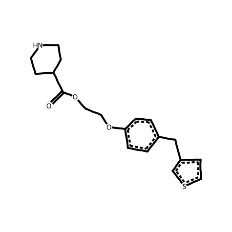 O=C(OCCOc1ccc(Cc2ccsc2)cc1)C1CCNCC1